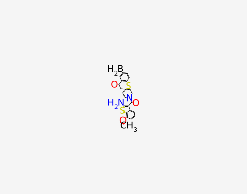 Bc1ccc2c(c1)C(=O)CC1(CCN(C(=O)c3c(N)sc4c(OC)cccc34)CC1)S2